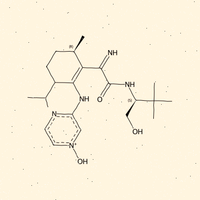 CC(C)C1CC[C@@H](C)C(C(=N)C(=O)N[C@H](CO)C(C)(C)C)=C1Nc1c[n+](O)ccn1